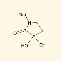 CC1(O)CCN(C(C)(C)C)C1=O